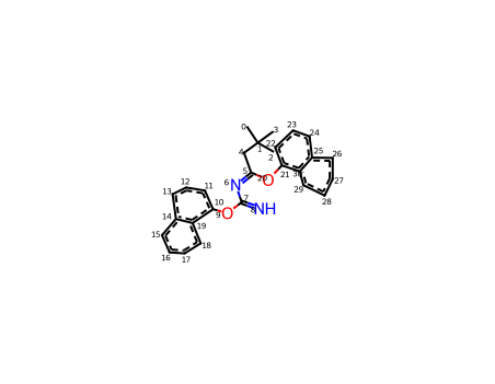 CC(C)(C)CC(=NC(=N)Oc1cccc2ccccc12)Oc1cccc2ccccc12